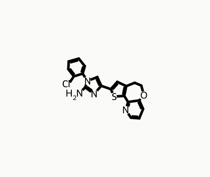 Nc1nc(-c2cc3c(s2)-c2ncccc2OCC3)cn1-c1ccccc1Cl